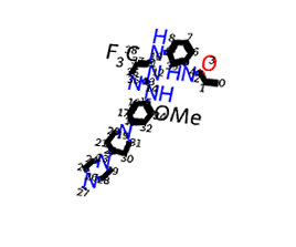 C=CC(=O)Nc1cccc(Nc2nc(Nc3ccc(N4CCC(N5CCN(C)CC5)CC4)cc3OC)ncc2C(F)(F)F)c1